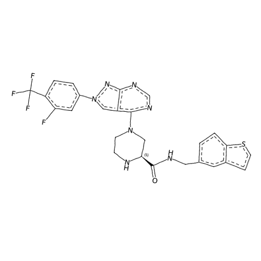 O=C(NCc1ccc2sccc2c1)[C@@H]1CN(c2ncnc3nn(-c4ccc(C(F)(F)F)c(F)c4)cc23)CCN1